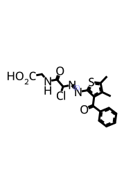 Cc1sc(/N=N/C(Cl)C(=O)NCC(=O)O)c(C(=O)c2ccccc2)c1C